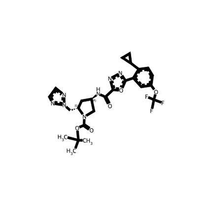 CC(C)(C)OC(=O)N1C[C@H](NC(=O)c2nnc(-c3cc(OC(F)(F)F)ccc3C3CC3)o2)C[C@H]1Cn1nccn1